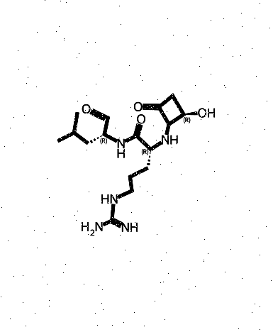 CC(C)C[C@H](C=O)NC(=O)[C@@H](CCCNC(=N)N)NC1C(=O)C[C@H]1O